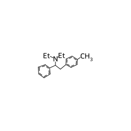 CCN(CC)C(Cc1ccc(C)cc1)c1ccccc1